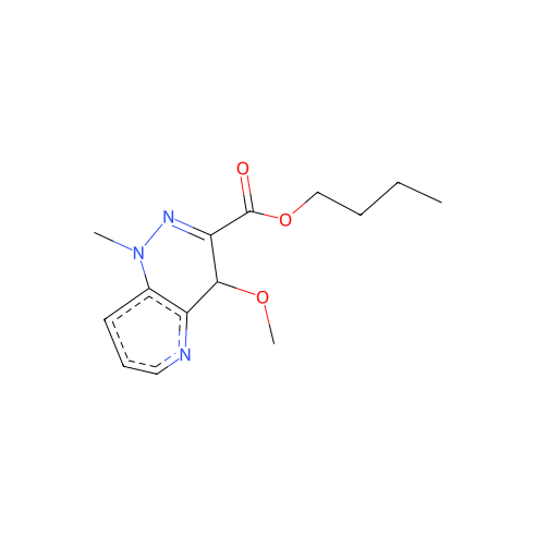 CCCCOC(=O)C1=NN(C)c2cccnc2C1OC